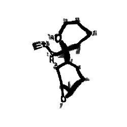 CC[SiH2]C1(C2CCC3OC3C2)CCCCO1